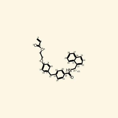 C=CC(=O)OCCOc1ccc(Cc2ccc(C(=O)N[C@@H](C)c3cccc4ccccc34)cc2)cc1